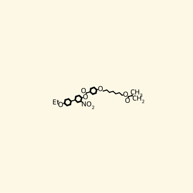 C=C(C)C(=O)OCCCCCCCOc1ccc(C(=O)Oc2ccc(-c3ccc(OCC)cc3)cc2[N+](=O)[O-])cc1